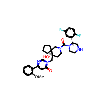 COc1ccccc1-c1cc(=O)n(C[C@]2(O)CCN(C(=O)N3CCNC[C@H]3c3cc(F)ccc3F)CC23CCCC3)cn1